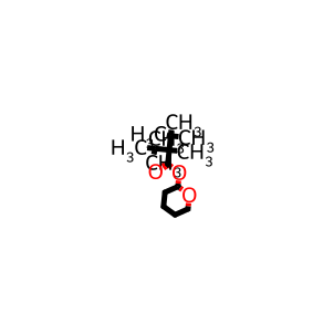 CC(C)(C)C(C)(C(=O)OC1CCCCO1)C(C)(C)C